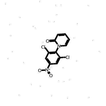 O=c1ccccn1-c1c(Cl)cc([N+](=O)[O-])cc1Cl